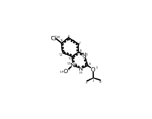 CC(C)Oc1nc2ccc(Cl)cc2[n+]([O-])n1